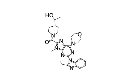 CCc1nc2ccccc2n1-c1nc(N2CCOCC2)c2nc(C(=O)N3CCC(C(C)O)CC3)n(C)c2n1